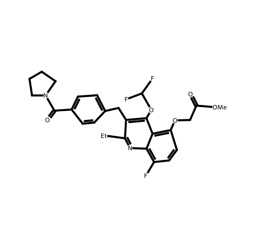 CCc1nc2c(F)ccc(OCC(=O)OC)c2c(OC(F)F)c1Cc1ccc(C(=O)N2CCCC2)cc1